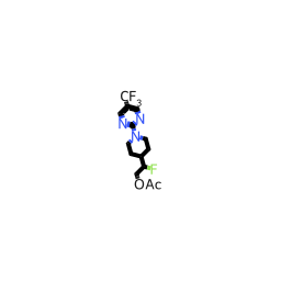 CC(=O)OCC(F)C1CCN(c2ncc(C(F)(F)F)cn2)CC1